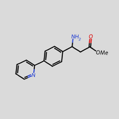 COC(=O)CC(N)c1ccc(-c2ccccn2)cc1